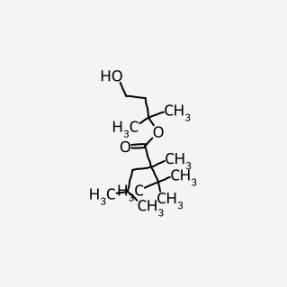 CC(C)CC(C)(C(=O)OC(C)(C)CCO)C(C)(C)C